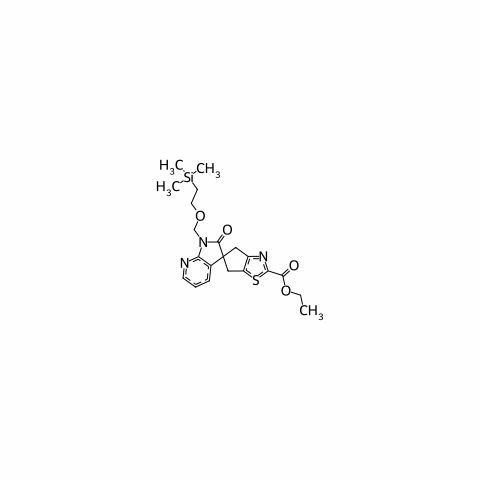 CCOC(=O)c1nc2c(s1)CC1(C2)C(=O)N(COCC[Si](C)(C)C)c2ncccc21